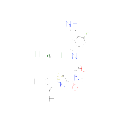 CC(C)c1nc(C(=O)N2CCOC3(CCN(Cc4ccc(F)c(CCN)c4)CC3)C2)cs1.Cl.Cl